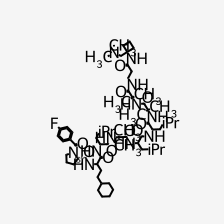 CC(C)CC(NC(=O)C(CCC1CCCCC1)NC(=O)[C@@H]1CCCN1C(=O)c1ccc(F)cc1)C(=O)NC(C)(C)C(=O)NC(CC(C)C)C(=O)NC(CC(C)C)C(=O)NC(C)(C)C(=O)NC(C)(C)C(=O)NCCC(=O)NC1(CN(C)C)CCC1